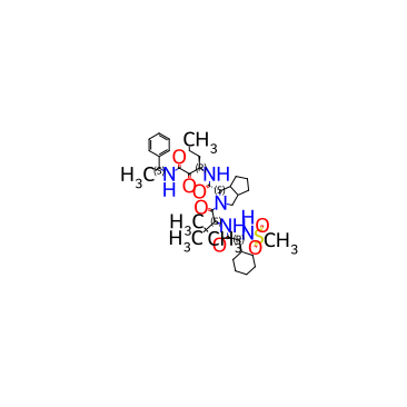 CCC[C@@H](NC(=O)[C@@H]1C2CCCC2CN1C(=O)[C@@H](NC(=O)[C@H](NS(C)(=O)=O)C1CCCCC1)C(C)(C)C)C(=O)C(=O)N[C@@H](C)c1ccccc1